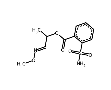 CON=CC(C)OC(=O)c1ccccc1S(N)(=O)=O